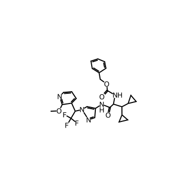 COc1ncccc1C(n1cc(NC(=O)C(NC(=O)OCc2ccccc2)C(C2CC2)C2CC2)cn1)C(F)(F)F